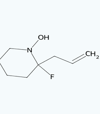 C=CCC1(F)CCCCN1O